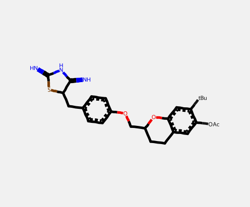 CC(=O)Oc1cc2c(cc1C(C)(C)C)OC(COc1ccc(CC3SC(=N)NC3=N)cc1)CC2